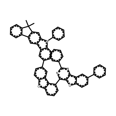 CC1(C)c2ccccc2-c2cc3c4cc(-c5ccc6oc7cccc(-c8nc(-c9ccccc9)nc9c8oc8ccc(-c%10ccccc%10)cc89)c7c6c5)ccc4n(-c4ccccc4)c3cc21